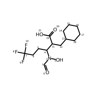 O=CN(O)C(CCC(F)(F)F)C(CC1CCCCC1)C(=O)O